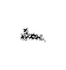 CC(C)(C)OC(=O)N[C@@H](Cc1ccc2nc(C(N)=O)cn2c1)C(=O)OC(C)(C)C